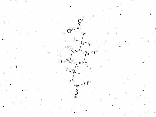 CC1=C(C(C)(C)CC(=O)Cl)C(=O)C(C)=C(C(C)(C)CC(=O)Cl)C1=O